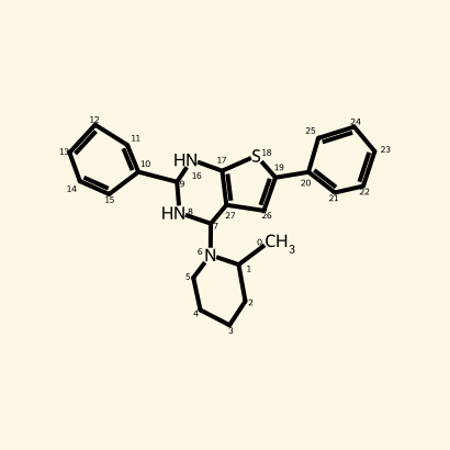 CC1CCCCN1C1NC(c2ccccc2)Nc2sc(-c3ccccc3)cc21